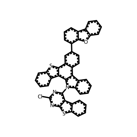 Clc1nc(-n2c3ccccc3c3c4ccc(-c5cccc6c5oc5ccccc56)cc4c4sc5ccccc5c4c32)c2c(n1)sc1ccccc12